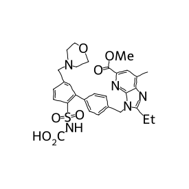 CCc1nc2c(C)cc(C(=O)OC)nc2n1Cc1ccc(-c2cc(CN3CCOCC3)ccc2S(=O)(=O)NC(=O)O)cc1